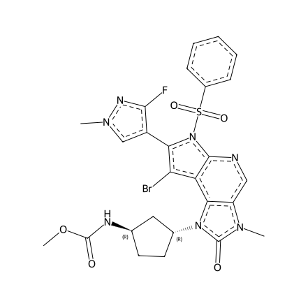 COC(=O)N[C@@H]1CC[C@@H](n2c(=O)n(C)c3cnc4c(c(Br)c(-c5cn(C)nc5F)n4S(=O)(=O)c4ccccc4)c32)C1